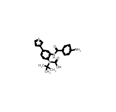 CC(C)(C)N(C(=O)O)c1ccc(-c2ccsc2)cc1NC(=O)c1ccc(N)cc1